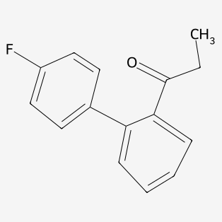 CCC(=O)c1ccccc1-c1ccc(F)cc1